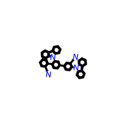 N#Cc1ccccc1-c1ccc(-c2ccc(-n3c4ccccc4c4ccccc43)c(C#N)c2)cc1-n1c2ccccc2c2ccccc21